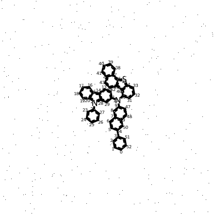 c1ccc(-c2ccc3cc(N(c4ccc5c6ccccc6n(-c6ccccc6)c5c4)c4cccc5sc6c7ccccc7ccc6c45)ccc3c2)cc1